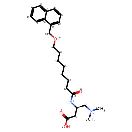 CN(C)C[C@@H](CC(=O)O)NC(=O)CCCCCCCOCc1cccc2ccccc12